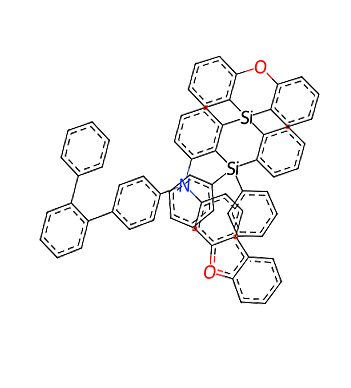 c1ccc(-c2ccccc2-c2ccc(N(c3ccc4c(c3)oc3ccccc34)c3cccc4c3[Si](c3ccccc3)(c3ccccc3)c3ccccc3[Si]43c4ccccc4Oc4ccccc43)cc2)cc1